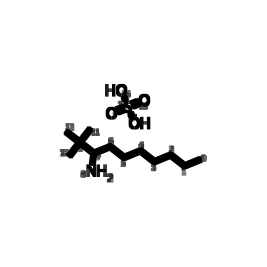 CCCCCCCC(N)C(C)(C)C.O=S(=O)(O)O